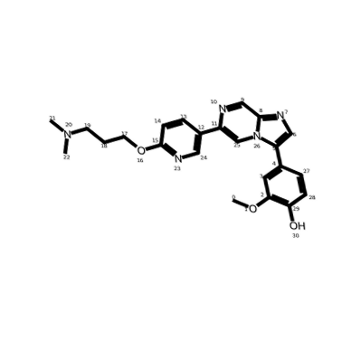 COc1cc(-c2cnc3cnc(-c4ccc(OCCCN(C)C)nc4)cn23)ccc1O